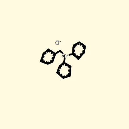 [Cl-].c1ccc([CH2][Sn+]([c]2ccccc2)[c]2ccccc2)cc1